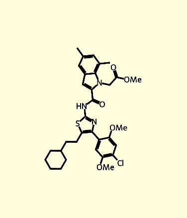 COC(=O)Cn1c(C(=O)Nc2nc(-c3cc(OC)c(Cl)cc3OC)c(CCC3CCCCC3)s2)cc2cc(C)cc(C)c21